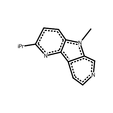 CC(C)c1ccc2c(n1)c1ccncc1n2C